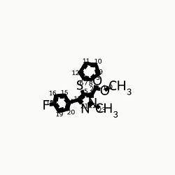 COC(=O)c1c(Sc2ccccc2)c(-c2ccc(F)cc2)nn1C